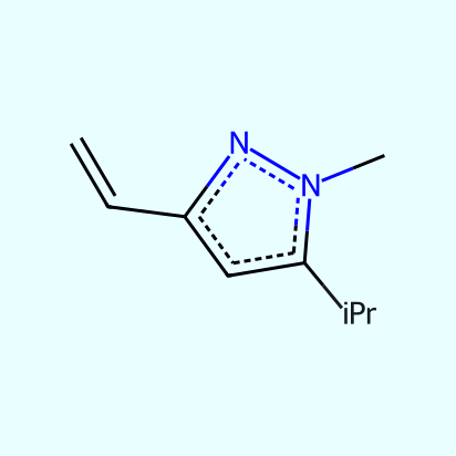 C=Cc1cc(C(C)C)n(C)n1